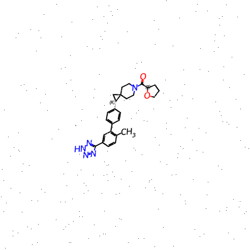 Cc1ccc(-c2nn[nH]n2)cc1-c1ccc([C@@H]2CC23CCN(C(=O)[C@H]2CCCO2)CC3)cc1